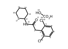 O=C(Cc1c(Cl)cccc1Cl)NC1CCCCS1.O=C(O)O